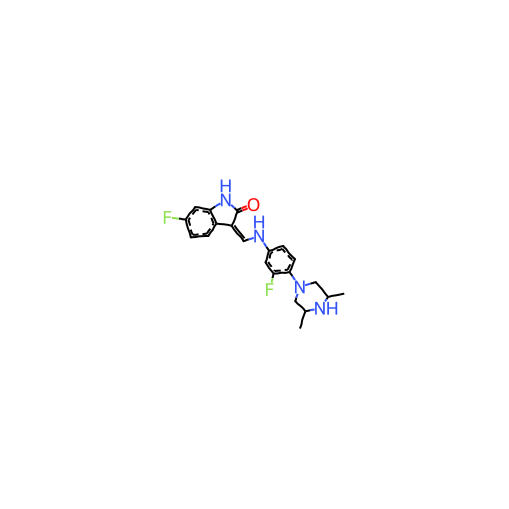 CC1CN(c2ccc(NC=C3C(=O)Nc4cc(F)ccc43)cc2F)CC(C)N1